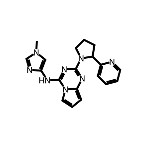 Cn1cnc(Nc2nc(N3CCCC3c3ccccn3)nc3cccn23)c1